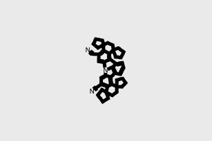 N#Cc1cc2c(c3c1C1(CCCC1)CCC31CCCC1)c1cccc3c4c5c(c(C#N)cc4n2c13)C1(CCCC1)CCC51CCCC1